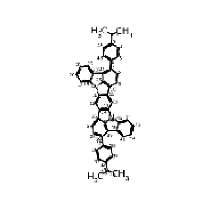 CC(C)c1ccc(-c2ccc3c4cc5c(cc4n4c6ccccc6c2c34)c2ccc(-c3ccc(C(C)C)cc3)c3c4ccccc4n5c23)cc1